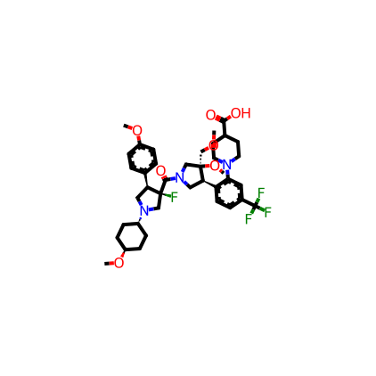 COC[C@@]1(OC)CN(C(=O)[C@]2(F)CN([C@H]3CC[C@H](OC)CC3)C[C@H]2c2ccc(OC)cc2)C[C@@H]1c1ccc(C(F)(F)F)cc1N1CCC(C(=O)O)CC1